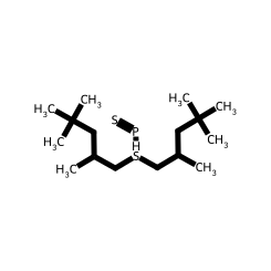 CC(C[SH](CC(C)CC(C)(C)C)P=S)CC(C)(C)C